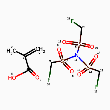 C=C(C)C(=O)O.O=S(=O)(CF)N(S(=O)(=O)CF)S(=O)(=O)CF